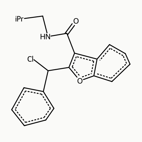 CC(C)CNC(=O)c1c(C(Cl)c2ccccc2)oc2ccccc12